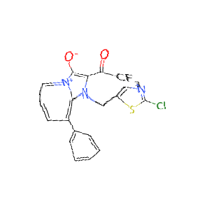 O=C(c1c([O-])[n+]2cccc(-c3ccccc3)c2n1Cc1cnc(Cl)s1)C(F)(F)F